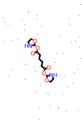 O=C(CCCCC(=O)OC1NCCO1)OC1NCCO1